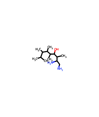 CC(C)C(C)C(C)C(C)C(O)C(C)C(N)CN